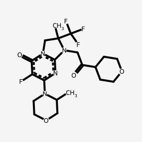 CC1COCCN1c1nc2n(c(=O)c1F)CC(C)(C(F)(F)F)N2CC(=O)C1CCOCC1